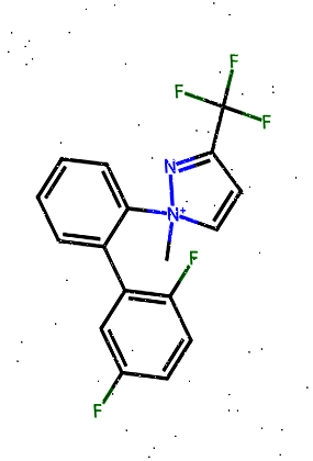 C[N+]1(c2ccccc2-c2cc(F)ccc2F)C=CC(C(F)(F)F)=N1